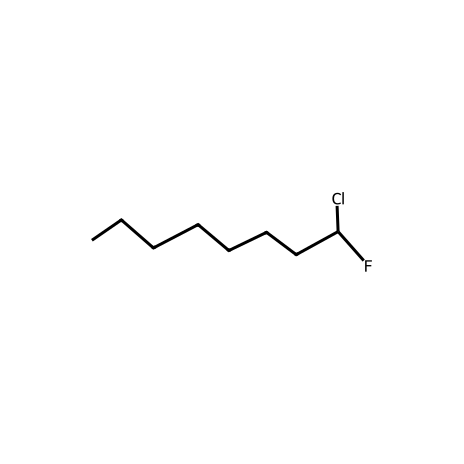 CCCCCCCC(F)Cl